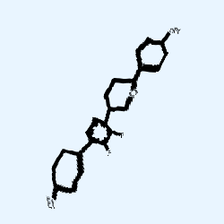 CCCC1CC=C(C2CCC(c3ccc(C4CCC(CC)CC4)c(F)c3F)CO2)CC1